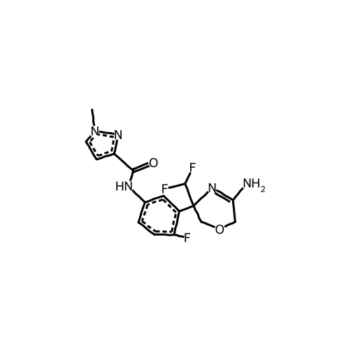 Cn1ccc(C(=O)Nc2ccc(F)c(C3(C(F)F)COCC(N)=N3)c2)n1